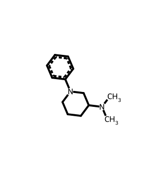 CN(C)C1CCCN(c2ccccc2)C1